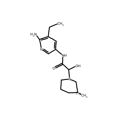 CCc1cc(NC(=O)C(O)N2CCC[C@H](C)C2)cnc1N